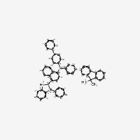 CC1(C)c2ccccc2-c2ccc(-c3ccc(N(c4ccc(-c5ccccc5)cc4)c4ccc(C5Nc6ccccc6N5c5ccccc5)c5ccccc45)cc3)cc21